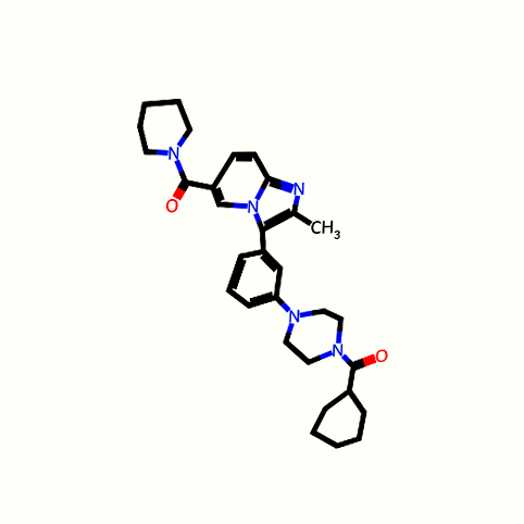 Cc1nc2ccc(C(=O)N3CCCCC3)cn2c1-c1cccc(N2CCN(C(=O)C3CCCCC3)CC2)c1